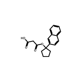 O=C(O)CC(=O)OC1(c2ccc3ccccc3c2)CCCC1